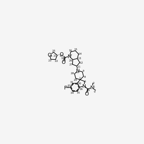 CN(C)C(=O)N1CC2(CCN(C3CC4CCCN(C(=O)O[C@@H]5CCOC5)C4C3)CC2)c2cc(F)ccc21